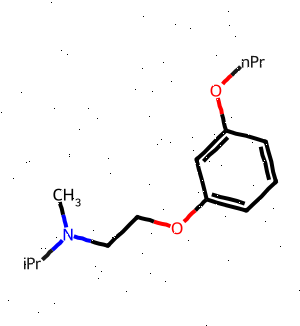 CCCOc1cccc(OCCN(C)C(C)C)c1